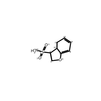 NS(=O)(=O)C1COC2=CC=CCC21